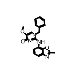 COc1cn(Cc2ccccc2)c(Nc2cccc3nc(C)oc23)nc1=O